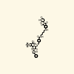 CCC(CC)C1CN(S(C)(=O)=O)CC1C(=O)N[C@@H](COCc1ccc(C(=O)NCCCCCNc2ccc3c(c2)C(=O)N(C2CCC(=O)NC2=O)C3=O)cc1)C(=O)NC1NC(c2ccccc2)CS1